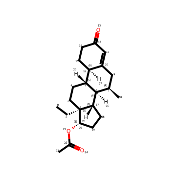 CC[C@]12CC[C@H]3[C@@H]([C@H](C)CC4=CC(=O)CC[C@@H]43)[C@@H]1CC[C@@H]2OC(C)=O